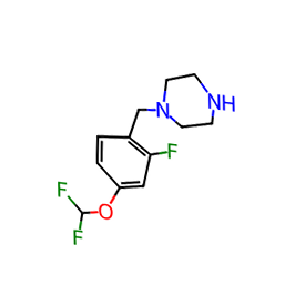 Fc1cc(OC(F)F)ccc1CN1CCNCC1